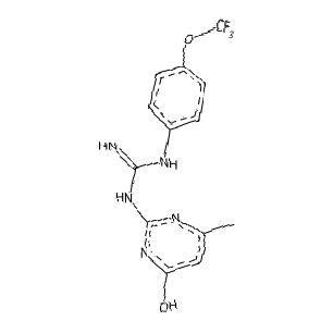 Cc1cc(O)nc(NC(=N)Nc2ccc(OC(F)(F)F)cc2)n1